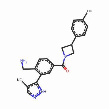 N#Cc1ccc(C2CN(C(=O)c3ccc(CN)c(-c4[nH]ncc4C#N)c3)C2)cc1